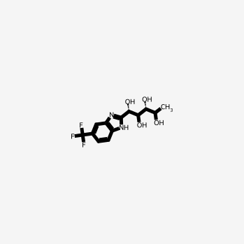 CC(O)[C@@H](O)C(O)[C@@H](O)c1nc2cc(C(F)(F)F)ccc2[nH]1